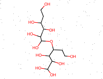 OCCC(O)C(O)C(O)C(O)OC(CCO)C(O)C(O)C(O)O